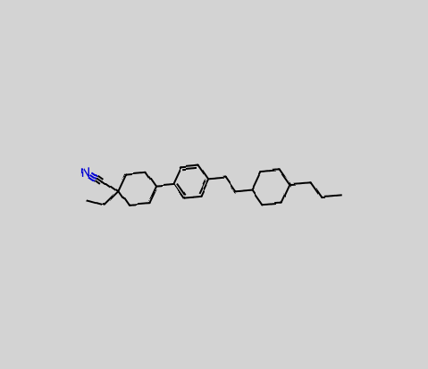 CCCC1CCC(CCc2ccc(C3CCC(C#N)(CC)CC3)cc2)CC1